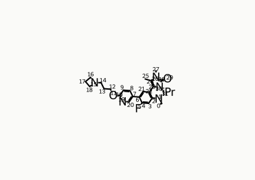 C=Nc1cc(F)c(-c2ccc(OCCCN3CCC3)nc2)cc1-c1c(C)n(C)c(=O)n1C(C)C